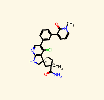 Cn1cccc(-c2cccc(-c3cnc4c(c3Cl)[C@]3(CC[C@](C)(C(N)=O)C3)CN4)c2)c1=O